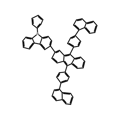 c1ccc(-n2c3ccccc3c3cc(-c4ccc5c(-c6ccc(-c7cccc8ccccc78)cc6)c6ccccc6c(-c6ccc(-c7cccc8ccccc78)cc6)c5c4)ccc32)cc1